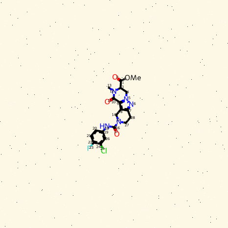 COC(=O)C1Cn2nc3c(c2C(=O)N1C)CN(C(=O)Nc1ccc(F)c(Cl)c1)CC3